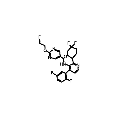 O=C(Nc1c(-c2cc(F)ccc2F)ccnc1C1CCC(F)(F)CC1)c1cnc(OCCF)nc1